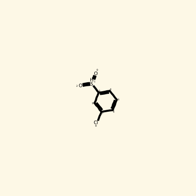 O=[SH](=O)c1cc[c]c(Cl)c1